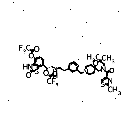 Cc1nc(C(=O)N2CC(C)(C)OC3(CCN(Cc4cccc(CCNC[C@H](OC(=O)C(F)(F)F)c5ccc(OC(=O)C(F)(F)F)c6[nH]c(=O)sc56)c4)CC3)C2)cs1